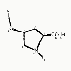 O=C(O)[C@@H]1C[C@H](OI)CN1I